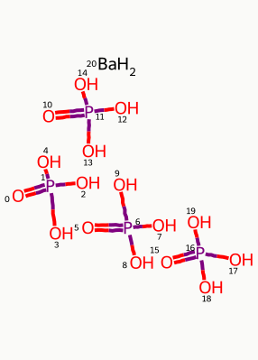 O=P(O)(O)O.O=P(O)(O)O.O=P(O)(O)O.O=P(O)(O)O.[BaH2]